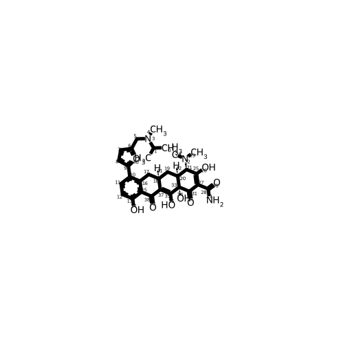 CC(C)N(C)Cc1ccc(-c2ccc(O)c3c2C[C@H]2C[C@H]4[C@H](N(C)C)C(O)=C(C(N)=O)C(=O)[C@@]4(O)C(O)=C2C3=O)o1